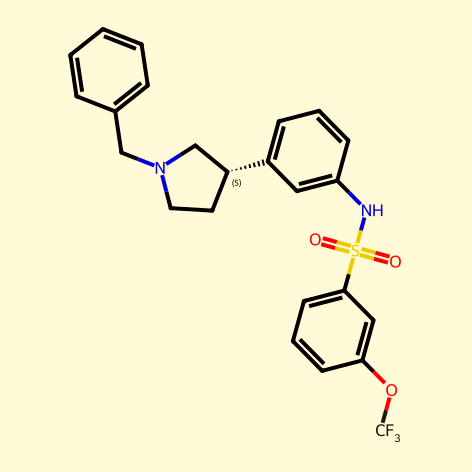 O=S(=O)(Nc1cccc([C@@H]2CCN(Cc3ccccc3)C2)c1)c1cccc(OC(F)(F)F)c1